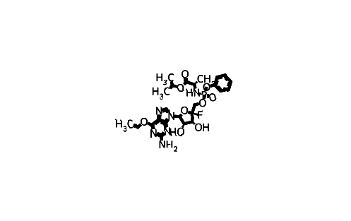 CCOc1nc(N)nc2c1ncn2C1O[C@](F)(CO[P@](=O)(N[C@H](C)C(=O)OC(C)C)Oc2ccccc2)[C@@H](O)[C@H]1O